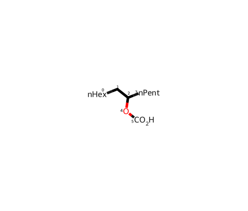 CCCCCCCC(CCCCC)OC(=O)O